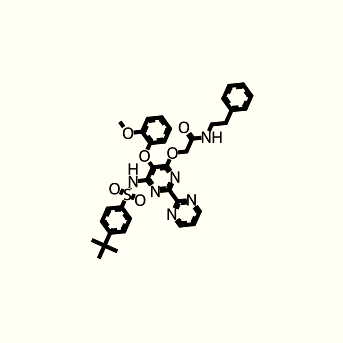 COc1ccccc1Oc1c(NS(=O)(=O)c2ccc(C(C)(C)C)cc2)nc(-c2ncccn2)nc1OCC(=O)NCCc1ccccc1